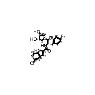 O=C(N[C@@H](Cc1ccc(F)cc1)C(=O)N1C[C@H](O)[C@@H](O)C1)c1cc2cc(Cl)ncc2[nH]1